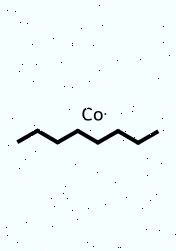 CCCCCCCC.[Co]